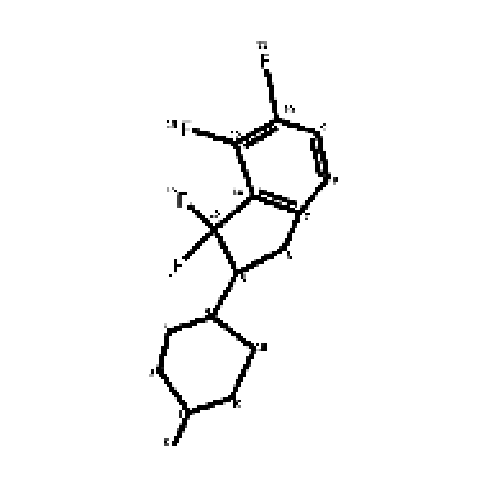 CC1CCC(C2Cc3ccc(F)c(F)c3C2(F)F)CC1